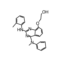 Cc1ccccc1Nc1nc(N(C)c2ccccc2)c2cccc(OCCO)c2n1